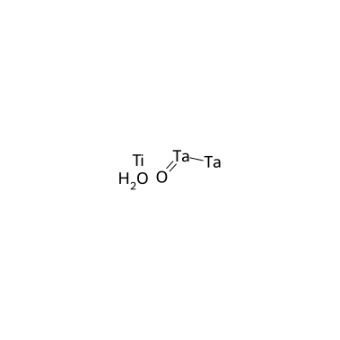 O.[O]=[Ta][Ta].[Ti]